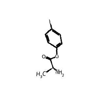 C[C@H](N)C(=O)Oc1ccc(I)cc1